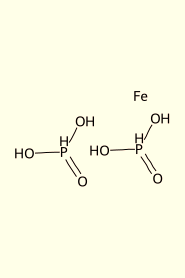 O=[PH](O)O.O=[PH](O)O.[Fe]